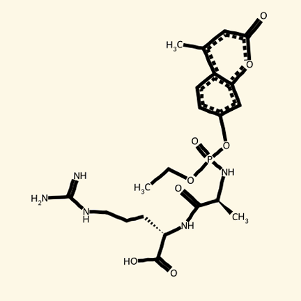 CCOP(=O)(N[C@@H](C)C(=O)N[C@@H](CCCNC(=N)N)C(=O)O)Oc1ccc2c(C)cc(=O)oc2c1